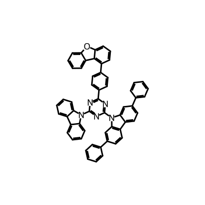 c1ccc(-c2ccc3c4ccc(-c5ccccc5)cc4n(-c4nc(-c5ccc(-c6cccc7oc8ccccc8c67)cc5)nc(-n5c6ccccc6c6ccccc65)n4)c3c2)cc1